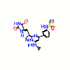 CC[S+]([O-])Nc1cccc(-c2cc(NC3CC3)n3ncc(/C=C4\NC(=O)NC4=O)c3n2)c1